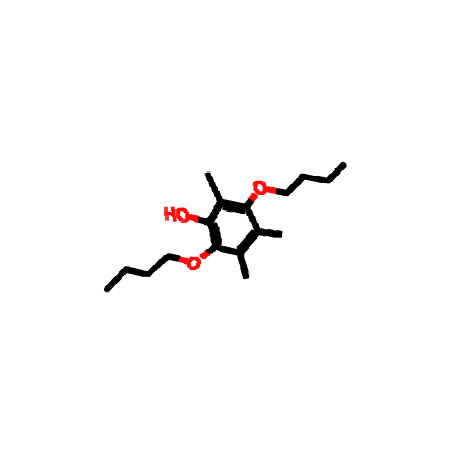 CCCCOc1c(C)c(C)c(OCCCC)c(O)c1C